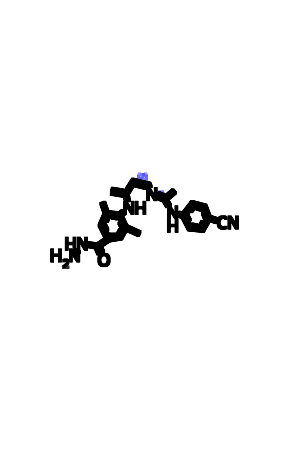 C=C(/C=C\N=C(/C)Nc1ccc(C#N)cc1)Nc1c(C)cc(C(=O)NN)cc1C